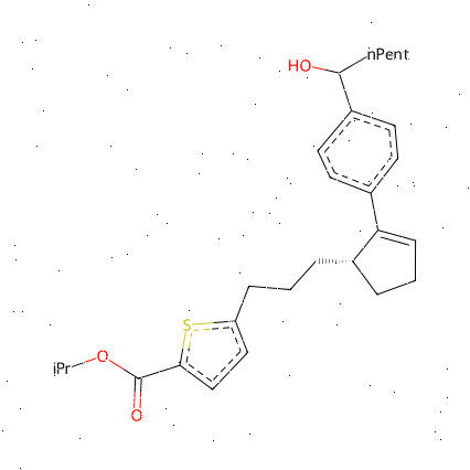 CCCCCC(O)c1ccc(C2=CCC[C@@H]2CCCc2ccc(C(=O)OC(C)C)s2)cc1